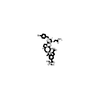 CC(C)N1CC[C@H]2CC[C@@H](C(=O)N[C@@H](CCC(N)=O)[C@@H](C)OCc3ccc(Br)cc3)N2C(=O)[C@@H](NC(=O)c2cc3cc(C(=O)P(=O)(O)O)ccc3[nH]2)C1